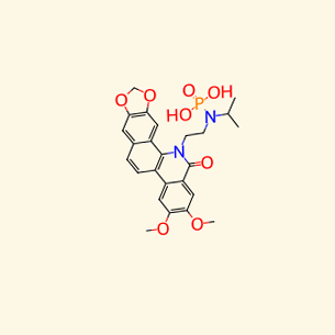 COc1cc2c(=O)n(CCN(C(C)C)P(=O)(O)O)c3c4cc5c(cc4ccc3c2cc1OC)OCO5